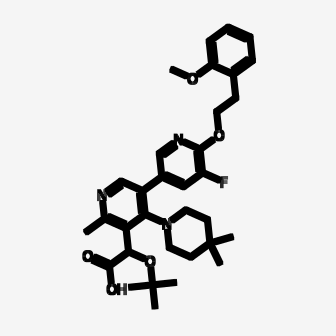 COc1ccccc1CCOc1ncc(-c2cnc(C)c(C(OC(C)(C)C)C(=O)O)c2N2CCC(C)(C)CC2)cc1F